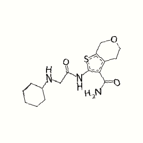 NC(=O)c1c(NC(=O)CNC2CCCCC2)sc2c1CCOC2